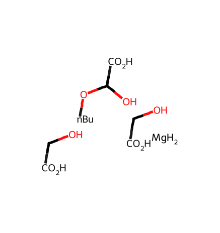 CCCCOC(O)C(=O)O.O=C(O)CO.O=C(O)CO.[MgH2]